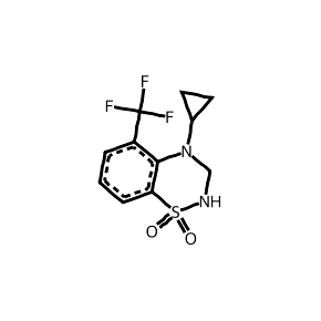 O=S1(=O)NCN(C2CC2)c2c(C(F)(F)F)cccc21